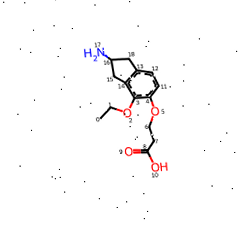 CCOc1c(OCCC(=O)O)ccc2c1CC(N)C2